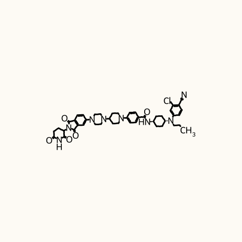 CCCN(c1ccc(C#N)c(Cl)c1)[C@H]1CC[C@H](NC(=O)c2ccc(N3CCC(N4CCN(c5ccc6c(c5)C(=O)N(C5CCC(=O)NC5=O)C6=O)CC4)CC3)cc2)CC1